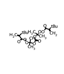 C=C(C(=O)OOC(C)(C)OC(=O)OC(C)(C)OOC(=O)C(=C)C(C)(C)C)C(C)(C)C